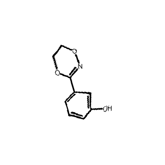 Oc1cccc(C2=NOCCO2)c1